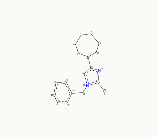 Clc1nc(C2CCCCCC2)cn1Cc1ccccc1